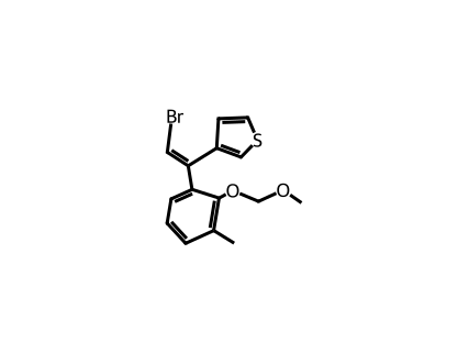 COCOc1c(C)cccc1C(=CBr)c1ccsc1